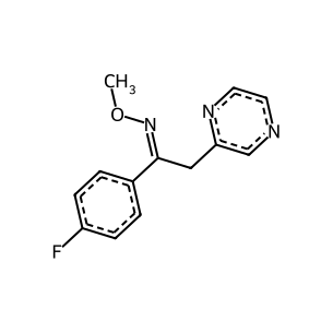 CON=C(Cc1cnccn1)c1ccc(F)cc1